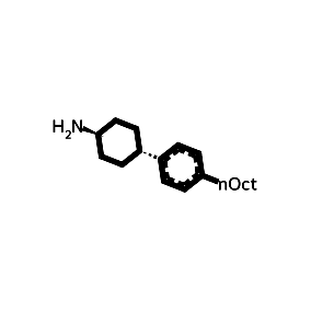 CCCCCCCCc1ccc([C@H]2CC[C@H](N)CC2)cc1